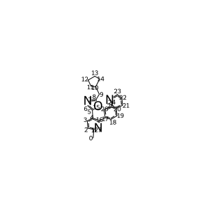 Cc1ccc(-c2cnc(CC3CCCC3)o2)c(-c2ccc3cccnc3c2)n1